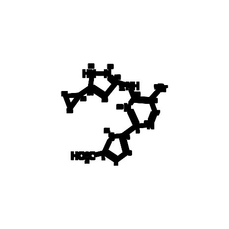 O=C(O)c1ccc(-c2ncc(Br)c(Nc3cc(C4CC4)[nH]n3)n2)s1